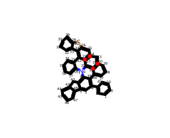 c1ccc(-c2cc3c(c(N(c4ccccc4)c4ccccc4-c4cccc5sc6ccccc6c45)c2-c2ccccc2)Cc2ccccc2-3)cc1